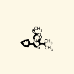 COC(=O)CN1C(=O)C(C(C)C)SC=C1c1ccccc1